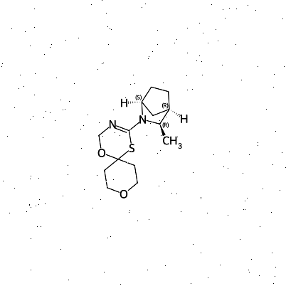 C[C@@H]1[C@@H]2CC[C@@H](C2)N1C1=NCOC2(CCOCC2)S1